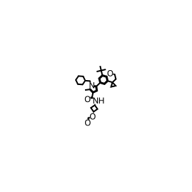 Cc1c(C(=O)N[C@H]2C[C@@H](OC=O)C2)cc(-c2cc(C(C)(C)C)c3c(c2)C2(CCO3)CC2)n1CC1CCCCC1